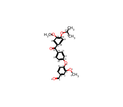 COc1cc(C=O)ccc1Oc1ccc(C(=O)c2ccc(OC(C)C)c(OC)c2)cc1